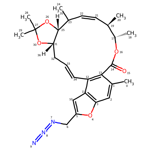 Cc1cc2oc(CN=[N+]=[N-])cc2c2c1C(=O)O[C@@H](C)[C@H](C)/C=C\C(C)[C@H]1OC(C)(C)O[C@H]1C/C=C/2